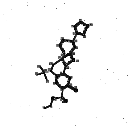 CCOC(=O)c1cn2c(cc1=O)-c1oc3cc(-c4ccoc4)ccc3c1C[C@H]2C(C)(C)C